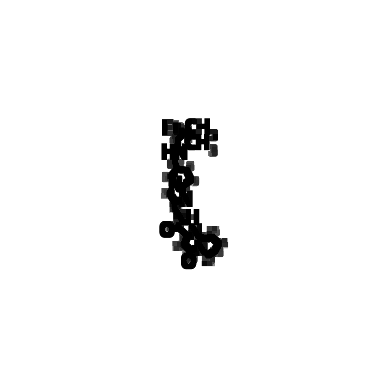 CCC(C)(C)CNCc1ccc2nc(CNC(=O)c3cc(=O)n4ccccc4n3)cn2c1